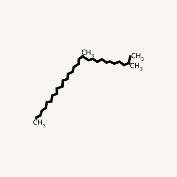 CCCCCCCCCCCCCCCCCCC(C)CCCCCCCCCC(C)CC